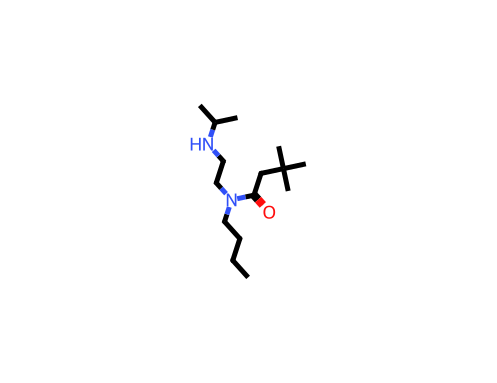 CCCCN(CCNC(C)C)C(=O)CC(C)(C)C